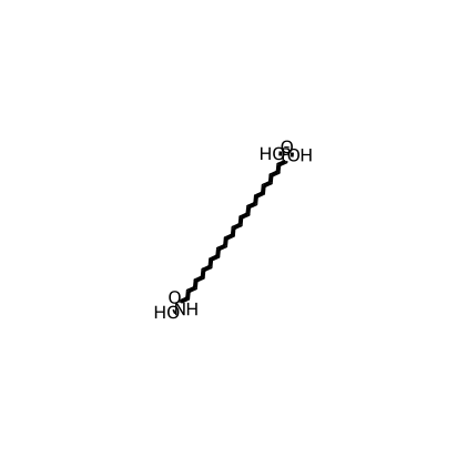 O=C(CCCCCCCCCCCCCCCCCCCCCCCCCCCP(=O)(O)O)NO